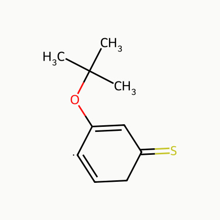 CC(C)(C)OC1=CC(=S)CC=[C]1